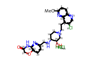 COc1ccc2ncc(Cl)c(CCN3CC[C@H](NCc4ccc5c(n4)NC(=O)CO5)[C@H](O)C3)c2n1.Cl.Cl